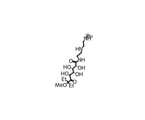 CC[C@@H](C)NCCNCCNC(=O)[C@H](O)[C@@H](O)[C@H](O)[C@H](O)C(=O)C(CC)(CC)OC